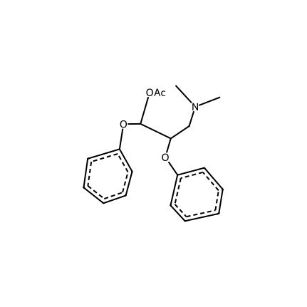 CC(=O)OC(Oc1ccccc1)C(CN(C)C)Oc1ccccc1